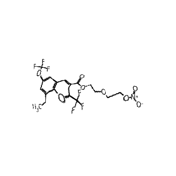 CCc1cc(OC(F)(F)F)cc2c1OC(C(F)(F)F)C(C(=O)OCCOCCO[N+](=O)[O-])=C2